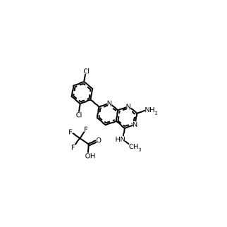 CNc1nc(N)nc2nc(-c3cc(Cl)ccc3Cl)ccc12.O=C(O)C(F)(F)F